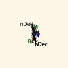 CCCCCCCCCCCCc1cc(-c2ccc(-c3cc(CCCCCCCCCCCC)c(Br)s3)c3nsnc23)sc1Br